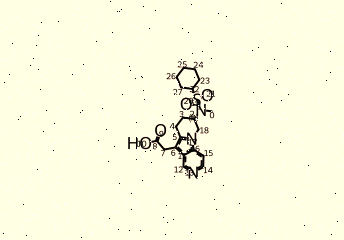 CN([C@@H]1CCc2c(CC(=O)O)c3cnccc3n2C1)S(=O)(=O)C1CCCCC1